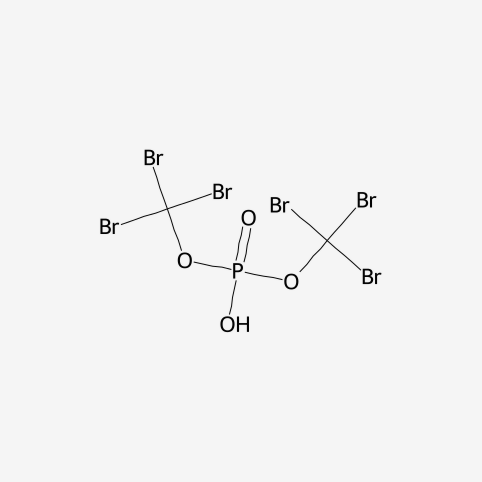 O=P(O)(OC(Br)(Br)Br)OC(Br)(Br)Br